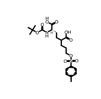 Cc1ccc(S(=O)(=O)OCCCC(CC[C@H](NC(=O)OC(C)(C)C)C(=O)O)C(=O)O)cc1